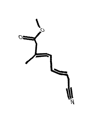 COC(=O)C(C)=CC=CC#N